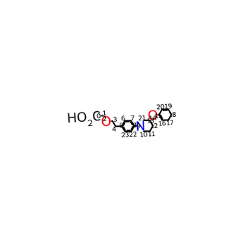 O=C(O)COCCc1ccc(N2CCCC(OC3=CCCC=C3)C2)cc1